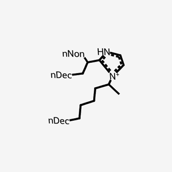 CCCCCCCCCCCCCCC(C)[n+]1cc[nH]c1C(CCCCCCCCC)CCCCCCCCCCC